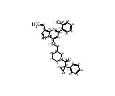 C=Cc1cnn2c(NCC3CCCN(C(=O)C4(c5ccccc5)CC4)C3)cc(-c3ccccc3O)nc12